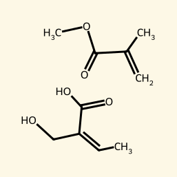 C=C(C)C(=O)OC.CC=C(CO)C(=O)O